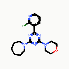 Clc1ncccc1-c1nc(N2CCCCCC2)nc(N2CCOCC2)n1